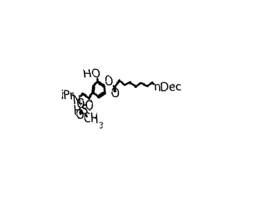 CCCCCCCCCCCCCCCCCC(=O)Oc1ccc(C(CNC(C)C)OS(C)(=O)=O)cc1O